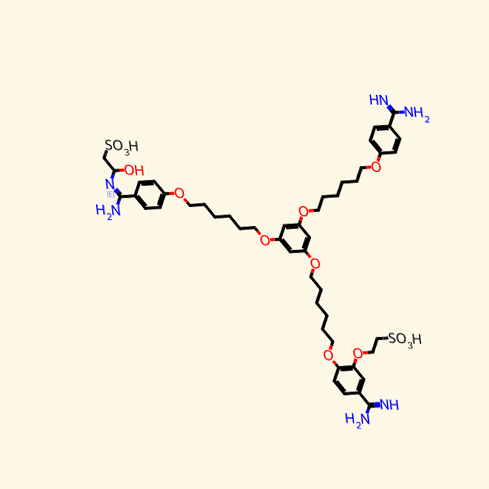 N=C(N)c1ccc(OCCCCCCOc2cc(OCCCCCCOc3ccc(/C(N)=N\C(O)CS(=O)(=O)O)cc3)cc(OCCCCCCOc3ccc(C(=N)N)cc3OCCS(=O)(=O)O)c2)cc1